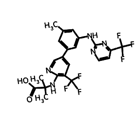 Cc1cc(Nc2nccc(C(F)(F)F)n2)cc(-c2cnc(NC(C)(C)C(=O)O)c(C(F)(F)F)c2)c1